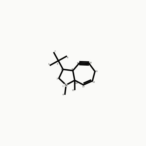 CN1CC(C(C)(C)C)C2C#CCC=CC21C